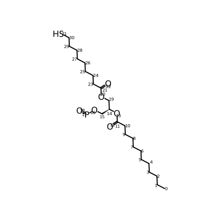 CCCCCCCCCCCC(=O)O[C@@H](COP=O)COC(=O)CCCCCCCCS